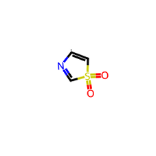 O=S1(=O)C=[C]N=C1